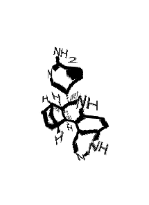 Nc1ccc([C@@H]2Nc3ccc4[nH]ncc4c3[C@H]3[C@@H]4CC[C@@H](C4)[C@H]32)cn1